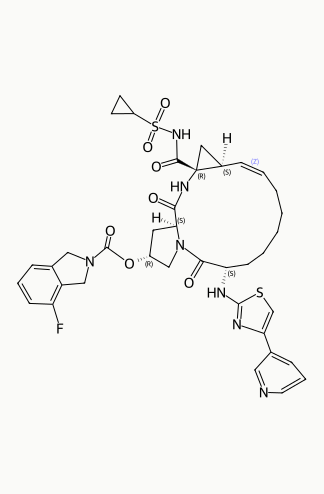 O=C1N[C@]2(C(=O)NS(=O)(=O)C3CC3)C[C@H]2/C=C\CCCCC[C@H](Nc2nc(-c3cccnc3)cs2)C(=O)N2C[C@H](OC(=O)N3Cc4cccc(F)c4C3)C[C@@H]12